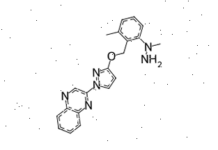 Cc1cccc(N(C)N)c1COc1ccn(-c2cnc3ccccc3n2)n1